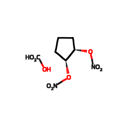 O=C(O)O.O=[N+]([O-])O[C@H]1CCC[C@H]1O[N+](=O)[O-]